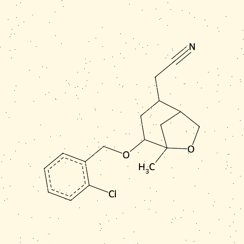 CC12CC(CO1)C(CC#N)CC2OCc1ccccc1Cl